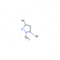 CC(C)c1cc(C#N)nn1C